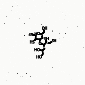 OCC(O)CC(OC(CC(O)CO)C(S)CS)C(S)CS